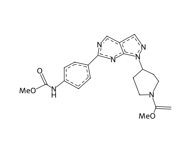 C=C(OC)N1CCC(n2ncc3cnc(-c4ccc(NC(=O)OC)cc4)nc32)CC1